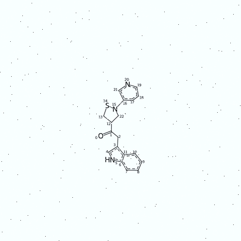 O=C(Cc1c[nH]c2ccccc12)C1CSN(c2cccnc2)C1